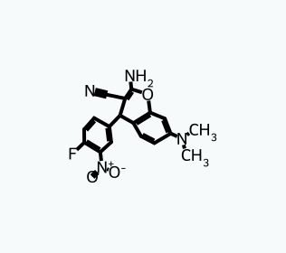 CN(C)c1ccc2c(c1)OC(N)=C(C#N)C2c1ccc(F)c([N+](=O)[O-])c1